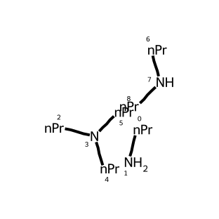 CCCN.CCCN(CCC)CCC.CCCNCCC